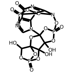 O=c1nc2n3c4c1nc1n4C45OC67OP(=O)(OC6O)OC7(O)C4(O)OP(=O)(ON2OP(=O)(O1)O3)O5